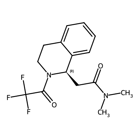 CN(C)C(=O)C[C@@H]1c2ccccc2CCN1C(=O)C(F)(F)F